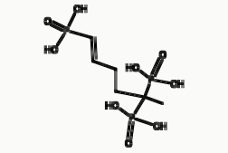 CC(CCC=CP(=O)(O)O)(P(=O)(O)O)P(=O)(O)O